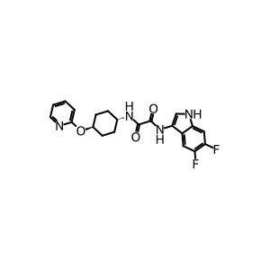 O=C(Nc1c[nH]c2cc(F)c(F)cc12)C(=O)N[C@H]1CC[C@H](Oc2ccccn2)CC1